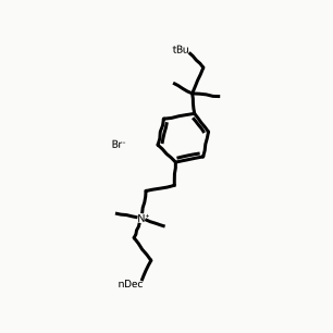 CCCCCCCCCCCC[N+](C)(C)CCc1ccc(C(C)(C)CC(C)(C)C)cc1.[Br-]